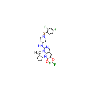 CC1CCCC1n1c(=O)c(OC(F)F)cc2cnc(NC3CCN(Sc4ccc(F)cc4F)CC3)nc21